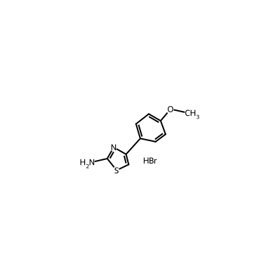 Br.COc1ccc(-c2csc(N)n2)cc1